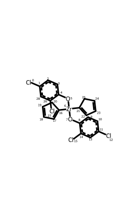 Clc1ccc([O][Zr]([O]c2ccc(Cl)cc2Cl)([C]2=CC=CC2)[C]2=CC=CC2)c(Cl)c1